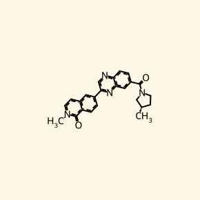 C[C@@H]1CCN(C(=O)c2ccc3ncc(-c4ccc5c(=O)n(C)ccc5c4)nc3c2)C1